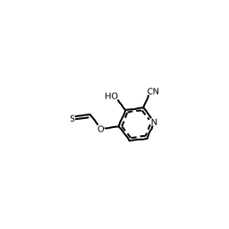 N#Cc1nccc(OC=S)c1O